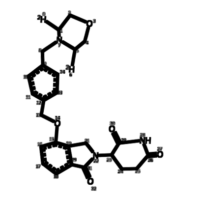 [2H]C1COCC([2H])N1Cc1ccc(COc2cccc3c2CN(C2CCC(=O)NC2=O)C3=O)cc1